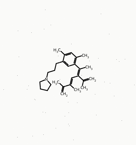 C=C(C)/C(C)=C/C(C(=C)C)=C(/C)c1cc(CCCN2CCCC2)c(C)cc1C